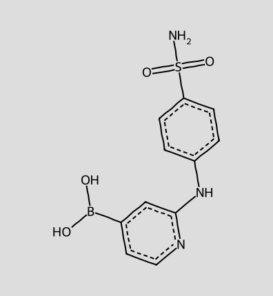 NS(=O)(=O)c1ccc(Nc2cc(B(O)O)ccn2)cc1